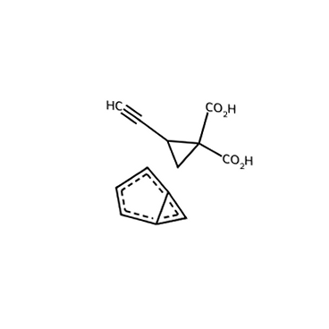 C#CC1CC1(C(=O)O)C(=O)O.c1cc2cc-2c1